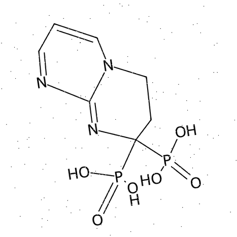 O=P(O)(O)C1(P(=O)(O)O)CCN2C=CC=NC2=N1